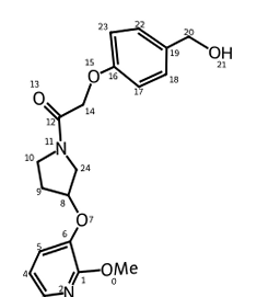 COc1ncccc1OC1CCN(C(=O)COc2ccc(CO)cc2)C1